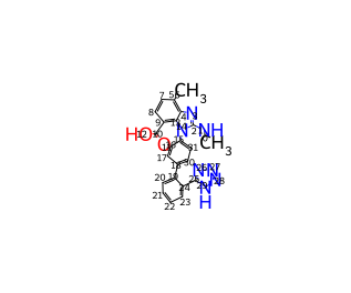 CNc1nc2c(C)ccc(C(=O)O)c2n1-c1ccc(-c2ccccc2-c2nnn[nH]2)cc1